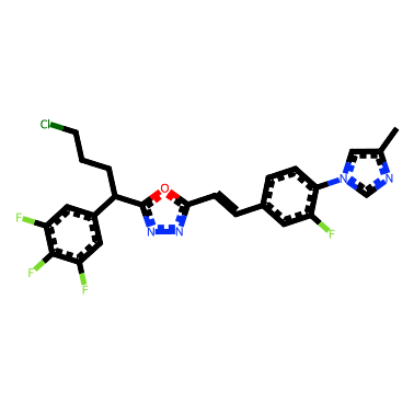 Cc1cn(-c2ccc(/C=C/c3nnc(C(CCCCl)c4cc(F)c(F)c(F)c4)o3)cc2F)cn1